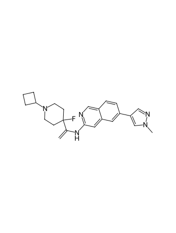 C=C(Nc1cc2cc(-c3cnn(C)c3)ccc2cn1)C1(F)CCN(C2CCC2)CC1